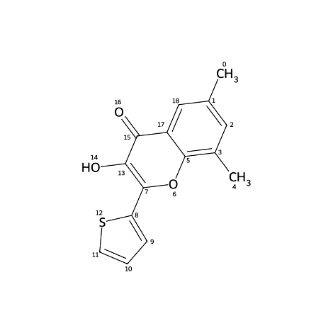 Cc1cc(C)c2oc(-c3cccs3)c(O)c(=O)c2c1